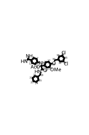 COc1cc([C@](Nc2ccc(C(=N)N)cc2)(OC(C)=O)C(=O)NCc2ccccc2)ccc1OCc1cc(Cl)cc(Cl)c1